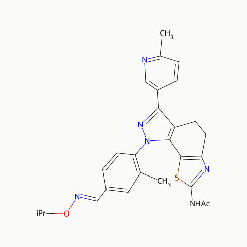 CC(=O)Nc1nc2c(s1)-c1c(c(-c3ccc(C)nc3)nn1-c1ccc(/C=N/OC(C)C)cc1C)CC2